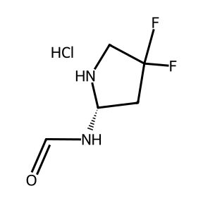 Cl.O=CN[C@H]1CC(F)(F)CN1